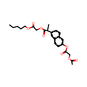 CCCCCOC(=O)COC(=O)C(C)c1ccc2cc(OC(=O)COC(C)=O)ccc2c1